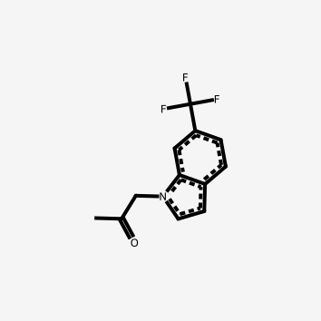 CC(=O)Cn1ccc2ccc(C(F)(F)F)cc21